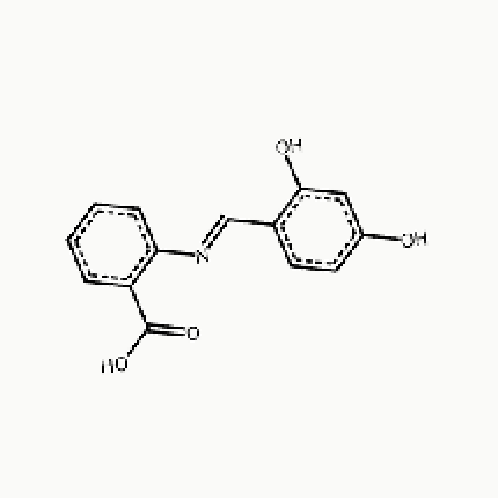 O=C(O)c1ccccc1N=Cc1ccc(O)cc1O